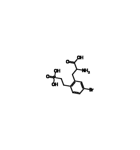 NC(Cc1cc(Br)ccc1CCP(=O)(O)O)C(=O)O